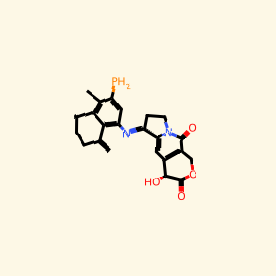 C=C1CCCc2c(C)c(P)cc(/N=C3\CCn4c3cc3c(c4=O)COC(=O)C3O)c21